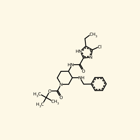 CCc1[nH]c(C(=O)NC2CCN(C(=O)OC(C)(C)C)CC2NCc2ccccc2)nc1Cl